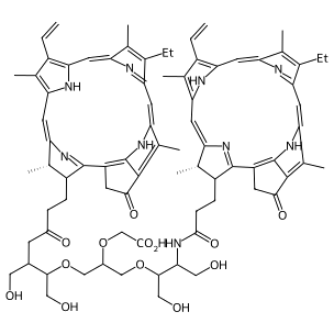 C=Cc1c(C)c2cc3nc(c4c5[nH]c(cc6nc(cc1[nH]2)C(C)=C6CC)c(C)c5C(=O)C4)C(CCC(=O)CC(CO)C(CO)OCC(COC(CO)C(CO)NC(=O)CCC1c2nc(cc4[nH]c(cc5nc(cc6[nH]c7c2CC(=O)c7c6C)C(CC)=C5C)c(C=C)c4C)[C@H]1C)OCC(=O)O)[C@@H]3C